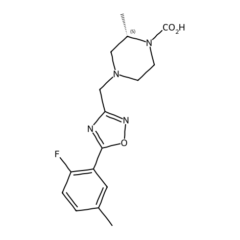 Cc1ccc(F)c(-c2nc(CN3CCN(C(=O)O)[C@@H](C)C3)no2)c1